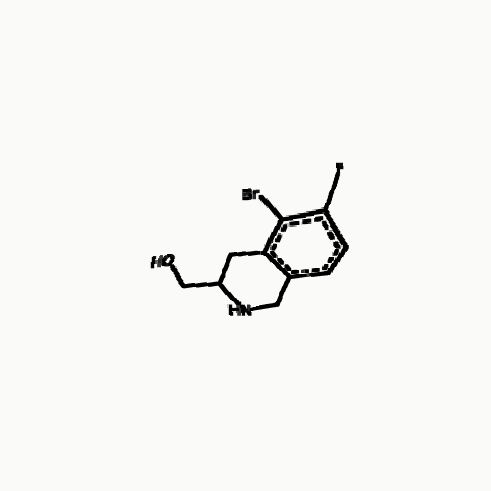 OCC1Cc2c(ccc(F)c2Br)CN1